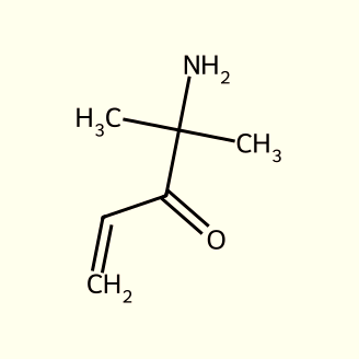 C=CC(=O)C(C)(C)N